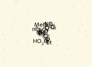 CCCc1c(Cc2ccc(-c3ccccc3C#N)cc2OC)c(=O)n(C2CCC(OC(CC)C(=O)O)CC2)c2ccnn12